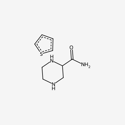 NC(=O)C1CNCCN1.c1ccsc1